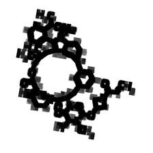 C=CC(=O)N1CC(OC(=O)N(C)C(C(=O)N[C@H]2Cc3cccc(c3)-c3ccc4c(c3)c(c(-c3cccnc3[C@H](C)OC)n4CC)CC(C)(C)COC(=O)[C@@]3(S)CCCN(N3)C2=O)C(C)C)C1